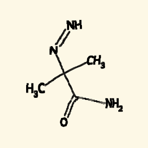 CC(C)(N=N)C(N)=O